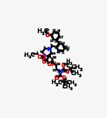 CCOP1(=O)CCN(Cc2ccc(F)cc2-c2cccc(OC)c2)C[C@@]1(CCCCN(C(=O)OC(C)(C)C)C(=O)OC(C)(C)C)C(=O)O